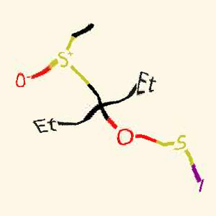 CCC(CC)(OSI)[S+](C)[O-]